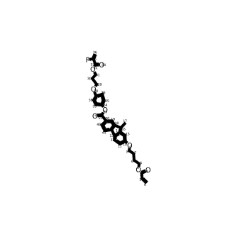 C=CC(=O)OCCCCOc1ccc2c(c1)C(C)c1cc(C(=O)Oc3ccc(OCCCOC(=O)C(=C)F)cc3)ccc1-2